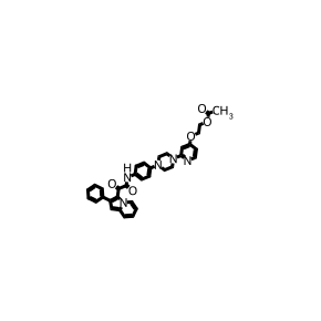 CC(=O)OCCOc1ccnc(N2CCN(c3ccc(NC(=O)C(=O)c4c(-c5ccccc5)cc5ccccn45)cc3)CC2)c1